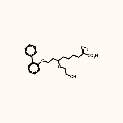 C=C(CCCCC(CCOc1ccccc1-c1ccccc1)OCCO)C(=O)O